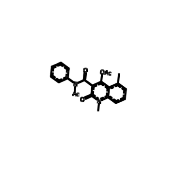 CC(=O)Oc1c(C(=O)N(C(C)=O)c2ccccc2)c(=O)n(C)c2cccc(C)c12